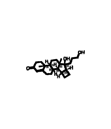 C[C@]12CCC(=O)C=C1CC[C@H]1[C@@H]3[C@@H]4CC[C@@H]4[C@@](O)(CCCO)[C@@]3(C)CC[C@@H]12